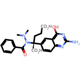 CN(C)N(C(=O)c1ccccc1)[C@@](CCC(=O)O)(C(=O)O)c1ccc2nc(N)nc(O)c2c1